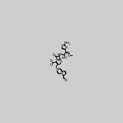 CO/N=C(\C(=O)N[C@@H]1C(=O)N2C(C(=O)[O-])=C(Cn3cc[n+]4c(C=O)ccc-4c3)CS[C@H]12)c1csc(N)n1